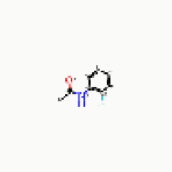 CC(=O)Nc1[c]cccc1F